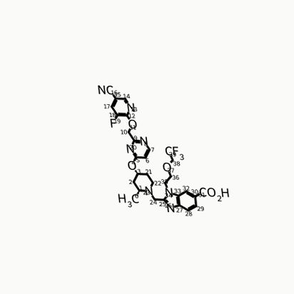 C[C@H]1C[C@@H](Oc2ccnc(COc3ncc(C#N)cc3F)n2)CCN1Cc1nc2ccc(C(=O)O)cc2n1CCOCC(F)(F)F